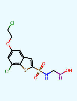 O=S(=O)(NCPO)c1cc2cc(OCCCl)cc(Cl)c2s1